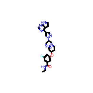 CCNC(=O)c1cc(F)cc(OC2CCN(CC(CN)n3cc(-c4ncnc5[nH]ccc45)cn3)CC2)c1